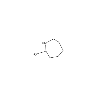 [O]C1CCCCCN1